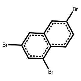 Brc1[c]c(Br)c2ccc(Br)cc2c1